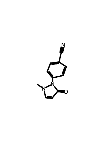 Cn1ccc(=O)n1-c1ccc(C#N)cc1